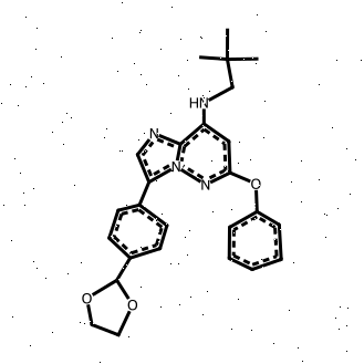 CC(C)(C)CNc1cc(Oc2ccccc2)nn2c(-c3ccc(C4OCCO4)cc3)cnc12